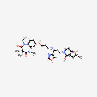 CCN1C(=O)C(C)(C)C(=O)N(C)c2cc(OCCCNC(CCn3ccc4oc(C)cc4c3=O)c3cocn3)ccc21